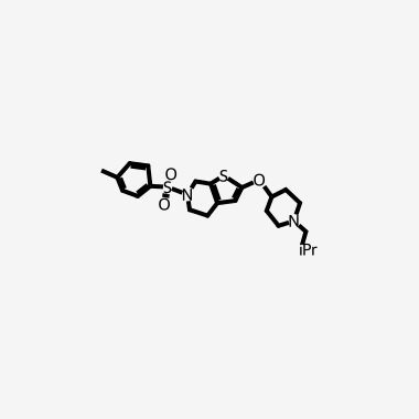 Cc1ccc(S(=O)(=O)N2CCc3cc(OC4CCN(CC(C)C)CC4)sc3C2)cc1